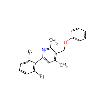 CCc1cccc(CC)c1-c1cc(C)c(COc2ccccc2)c(C)n1